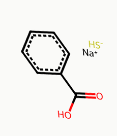 O=C(O)c1ccccc1.[Na+].[SH-]